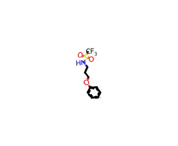 O=S(=O)(NCCCOc1cc[c]cc1)C(F)(F)F